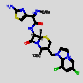 CO/N=C(\C(=O)N[C@@H]1C(=O)N2C(C(=O)[O-])=C(Cn3cc[n+]4cc(Cl)cc(Cl)c34)CS[C@@H]12)c1csc(N)n1